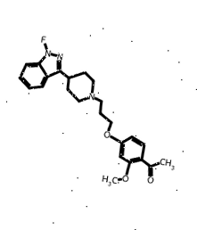 COc1cc(OCCCN2CCC(c3nn(F)c4ccccc34)CC2)ccc1C(C)=O